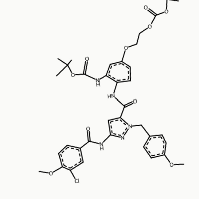 COc1ccc(Cn2nc(NC(=O)c3ccc(OC)c(Cl)c3)cc2C(=O)Nc2ccc(OCCOC(=O)OC(C)(C)C)cc2NC(=O)OC(C)(C)C)cc1